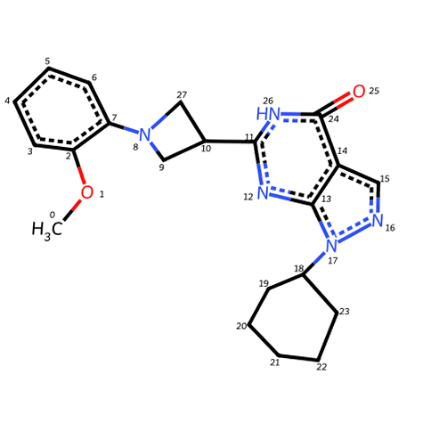 COc1ccccc1N1CC(c2nc3c(cnn3C3CCCCC3)c(=O)[nH]2)C1